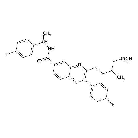 CC(CCc1nc2cc(C(=O)N[C@H](C)c3ccc(F)cc3)ccc2nc1C1=CCC(F)C=C1)CC(=O)O